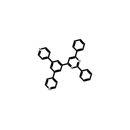 c1ccc(-c2cc(-c3cc(-c4ccncc4)cc(-c4ccncc4)c3)nc(-c3ccccc3)n2)cc1